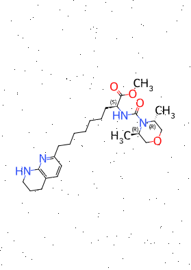 COC(=O)[C@H](CCCCCCCc1ccc2c(n1)NCCC2)NC(=O)N1[C@H](C)COC[C@H]1C